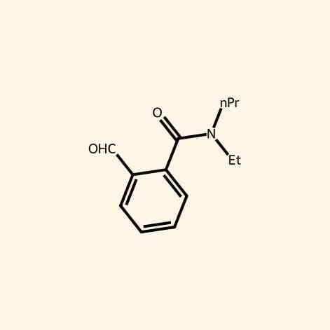 CCCN(CC)C(=O)c1ccccc1C=O